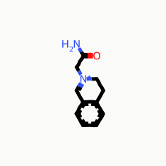 NC(=O)C[N+]1=Cc2ccccc2CC1